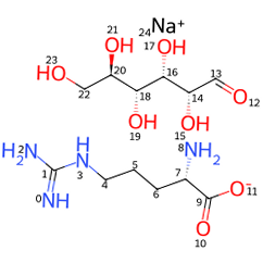 N=C(N)NCCC[C@H](N)C(=O)[O-].O=C[C@H](O)[C@@H](O)[C@H](O)[C@H](O)CO.[Na+]